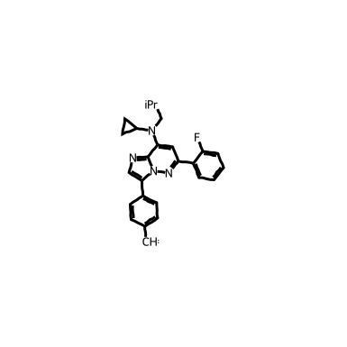 [CH]c1ccc(-c2cnc3c(N(CC(C)C)C4CC4)cc(-c4ccccc4F)nn23)cc1